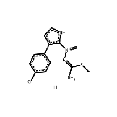 C=[N+](N=C(N)SC)c1[nH]ccc1-c1ccc(Cl)cc1.I